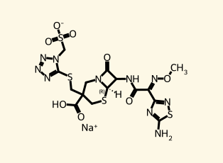 CON=C(C(=O)NC1C(=O)N2CC(CSc3nnnn3CS(=O)(=O)[O-])(C(=O)O)CS[C@H]12)c1nsc(N)n1.[Na+]